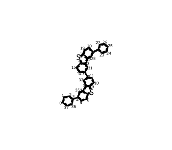 c1ccc(-c2ccc3sc4ccc(-c5ccc6sc7ccc(-c8ccccc8)cc7c6c5)cc4c3c2)cc1